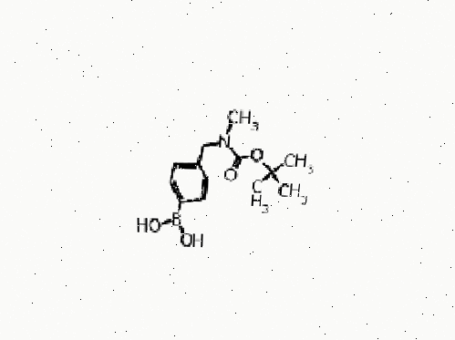 CN(Cc1ccc(B(O)O)cc1)C(=O)OC(C)(C)C